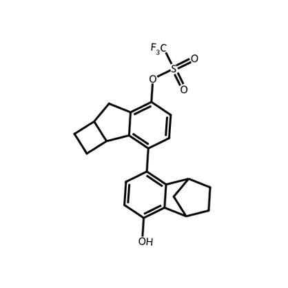 O=S(=O)(Oc1ccc(-c2ccc(O)c3c2C2CCC3C2)c2c1CC1CCC21)C(F)(F)F